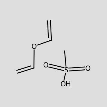 C=COC=C.CS(=O)(=O)O